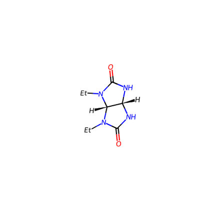 CCN1C(=O)N[C@H]2NC(=O)N(CC)[C@H]21